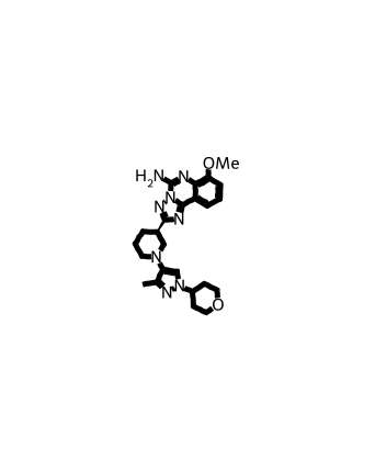 COc1cccc2c1nc(N)n1nc([C@@H]3CCCN(c4cn(C5CCOCC5)nc4C)C3)nc21